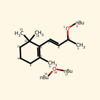 CCCCOC(C)C=CC1=C(C)CCCC1(C)C.CCCCOCCCC